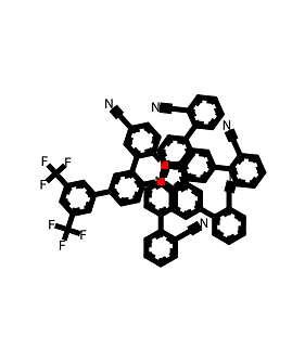 N#Cc1ccc(-n2c3ccc(-c4ccccc4C#N)cc3c3cc(-c4ccccc4C#N)ccc32)c(-c2cc(-c3cc(C(F)(F)F)cc(C(F)(F)F)c3)ccc2-n2c3ccc(-c4ccccc4C#N)cc3c3cc(-c4ccccc4C#N)ccc32)c1